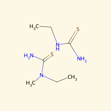 CCN(C)C(N)=S.CCNC(N)=S